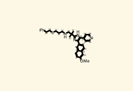 COc1ccc2cc(-c3nc(C(C)(C)CNCCCSCCC(C)C)[nH]c3-c3ccncc3)ccc2c1